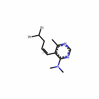 CCC(C/C=C\c1c(C)ncnc1N(C)C)C(C)C